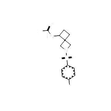 O=C(O)NC1CCC12CN(S(=O)(=O)c1ccc(Cl)cc1)C2